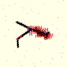 CCCCCCCC/C=C\CCCCCCCCCCCCCC(=O)N[C@@H](CO[C@@H]1OC(CO)[C@@H](O[C@@H]2OC(CO)[C@H](O)[C@H](O[C@H]3OC(CO)[C@H](O)[C@H](O[C@@H]4OC(CO)[C@@H](O)[C@H](O)C4NC(C)=O)C3O)C2O)[C@H](O)C1O)[C@H](O)/C=C/CCCCCCCCCCCCC